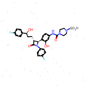 O=C(Nc1ccc([C@@H]2[C@@H](CC[C@H](O)c3ccc(F)cc3)C(=O)N2c2ccc(F)cc2)c(O)c1)N1CCN(S(=O)(=O)O)CC1